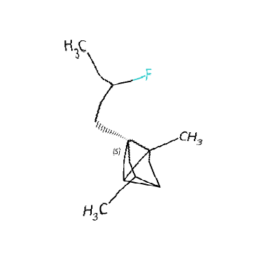 CC(F)C[C@]12C(C)C3C1C32C